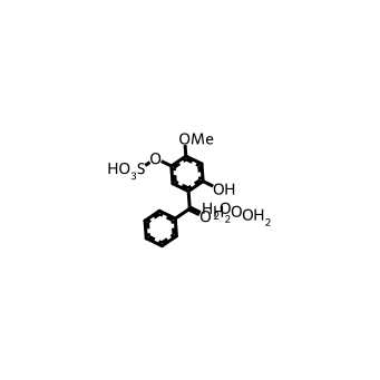 COc1cc(O)c(C(=O)c2ccccc2)cc1OS(=O)(=O)O.O.O.O